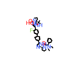 CCN(CC)[C@@H](C(=O)N1CCC[C@H]1c1ncc(-c2ccc(-c3ccc(-c4cnc([C@@]5(C(C)(C)C)CCCN5C(=O)O)[nH]4)c(F)c3)cc2)[nH]1)c1ccccc1